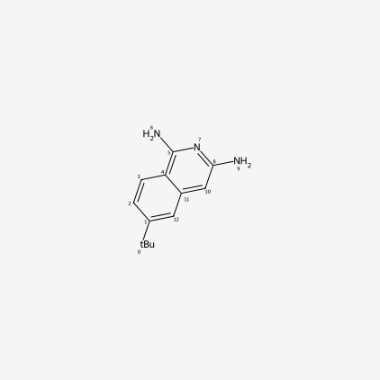 CC(C)(C)c1ccc2c(N)nc(N)cc2c1